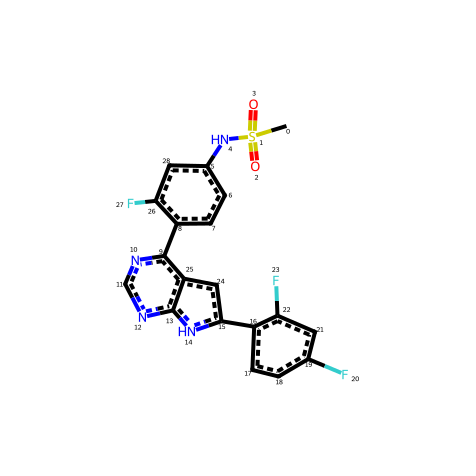 CS(=O)(=O)Nc1ccc(-c2ncnc3[nH]c(-c4ccc(F)cc4F)cc23)c(F)c1